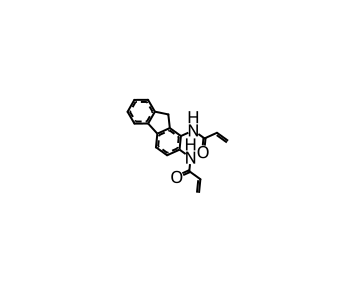 C=CC(=O)Nc1ccc2c(c1NC(=O)C=C)Cc1ccccc1-2